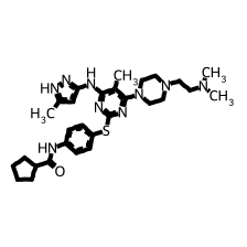 Cc1cc(Nc2nc(Sc3ccc(NC(=O)C4CCCC4)cc3)nc(N3CCN(CCN(C)C)CC3)c2C)n[nH]1